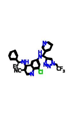 CC[C@@H](Nc1c(C#N)cnc2c(Cl)cc(NC(c3cccnc3)c3cn(CC(F)(F)F)nn3)cc12)c1ccccc1